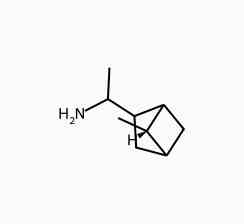 CC(N)C1CC2CC1[C@H]2C